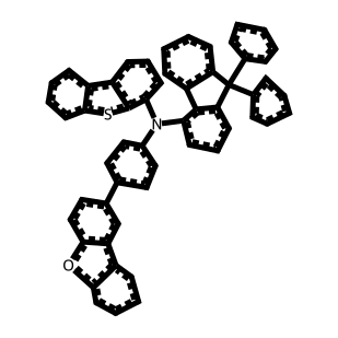 c1ccc(C2(c3ccccc3)c3ccccc3-c3c(N(c4ccc(-c5ccc6oc7ccccc7c6c5)cc4)c4cccc5c4sc4ccccc45)cccc32)cc1